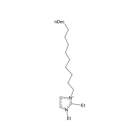 CCCCCCCCCCCCCCCCCCC[n+]1ccn(CC)c1CC